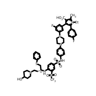 CCn1c(C)c(C(=O)O)c(-c2cc(F)cc(N3CCN(c4ccc(NS(=O)(=O)c5ccc(N[C@H](CCN6CCC(O)CC6)CSc6ccccc6)c(S(=O)(=O)C(F)(F)F)c5)cc4)CC3)c2)c1-c1ccc(F)cc1